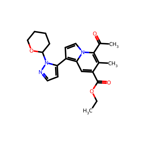 CCOC(=O)c1cc2c(-c3ccnn3C3CCCCO3)ccn2c(C(C)=O)c1C